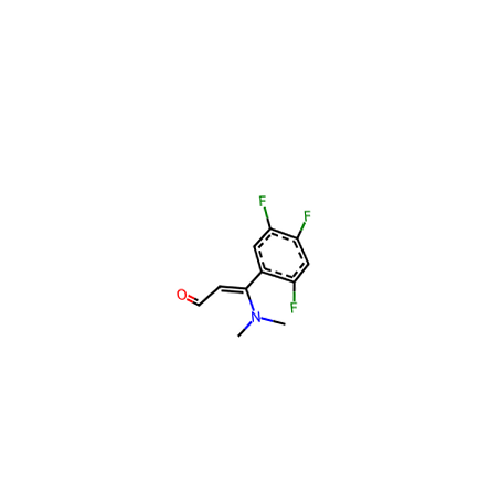 CN(C)C(=CC=O)c1cc(F)c(F)cc1F